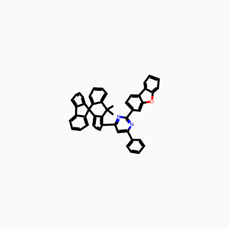 CC1(C)c2ccccc2C2(c3ccccc3-c3ccccc32)c2cccc(-c3cc(-c4ccccc4)nc(-c4ccc5c(c4)oc4ccccc45)n3)c21